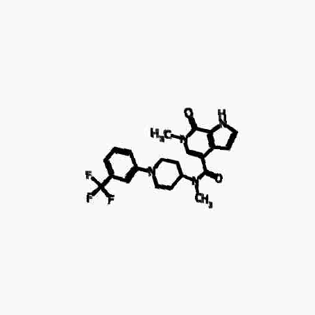 CN(C(=O)c1cn(C)c(=O)c2[nH]ccc12)C1CCN(c2cccc(C(F)(F)F)c2)CC1